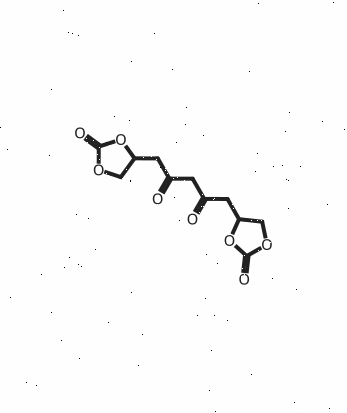 O=C(CC(=O)CC1COC(=O)O1)CC1COC(=O)O1